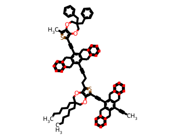 CC#Cc1c2c(c(C#Cc3sc(CCC#Cc4c5c(c(C#Cc6sc(C)c7c6OCC(Cc6ccccc6)(Cc6ccccc6)CO7)c6c4C4c7ccccc7C6c6ccccc64)C4c6ccccc6C5c5ccccc54)c4c3OCC(CCCCCC)(CCCCCC)CO4)c3c1C1c4ccccc4C3c3ccccc31)C1c3ccccc3C2c2ccccc21